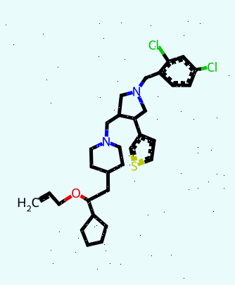 C=CCOC(CC1CCN(CC2CN(Cc3ccc(Cl)cc3Cl)CC2c2ccsc2)CC1)C1CCCC1